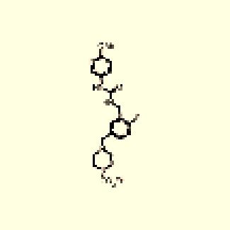 CCOC(=O)N1CCN(Cc2ccc(F)c(CNC(=O)Nc3ccc(OC)nc3)c2)CC1